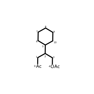 CC(=O)CC(COC(C)=O)C1CCCCC1